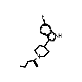 C=C(CCC)N1CCC(c2c[nH]c3cc(F)ccc23)CC1